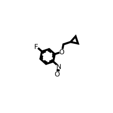 O=Nc1ccc(F)cc1OCC1CC1